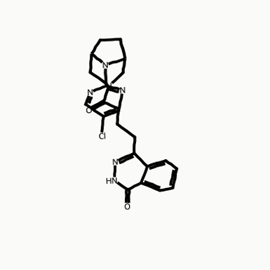 O=C(CCCc1n[nH]c(=O)c2ccccc12)N1CC2CCC(C1)N2c1ncc(Cl)cn1